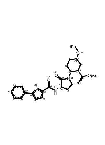 COC(=O)[C@@H]1C[C@H](NC(C)(C)C)CC[C@@H]1N1CC[C@H](NC(=O)c2ccc(-c3ccccc3)s2)C1=O